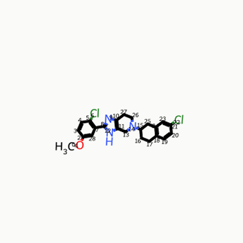 COc1ccc(Cl)c(-c2nc3c([nH]2)CN(C2CCc4ccc(Cl)cc4C2)CC3)c1